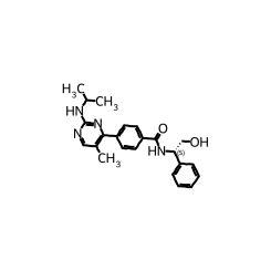 Cc1cnc(NC(C)C)nc1-c1ccc(C(=O)N[C@H](CO)c2ccccc2)cc1